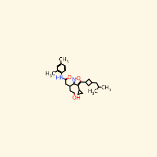 Cc1ccc(NC(=O)CC(CCO)c2noc(C3CC(CC(C)C)C3)c2C2CC2)c(C)c1